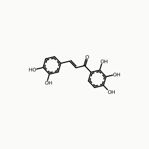 O=C(/C=C/c1ccc(O)c(O)c1)c1ccc(O)c(O)c1O